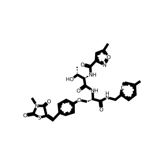 Cc1ccc(CNC(=O)[C@H](COc2ccc(C=C3SC(=O)N(C)C3=O)cc2)NC(=O)[C@@H](NC(=O)c2cc(C)on2)[C@@H](C)O)cc1